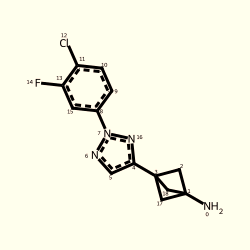 NC12CC(c3cnn(-c4ccc(Cl)c(F)c4)n3)(C1)C2